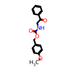 COc1ccc(COC(=O)NCC(=O)c2ccccc2)cc1